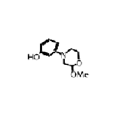 COC1CN(c2cccc(O)c2)CCO1